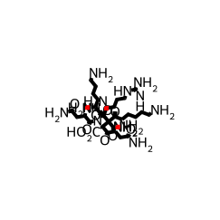 N=C(N)NCCCC(N)C(=O)C(C(N)=O)(C(=O)C(N)CCCCN)[C@](C(=O)O)(C(=O)C(N)CC(N)=O)N(C(=O)C(N)CCCCN)C(=O)C(N)CC(N)=O